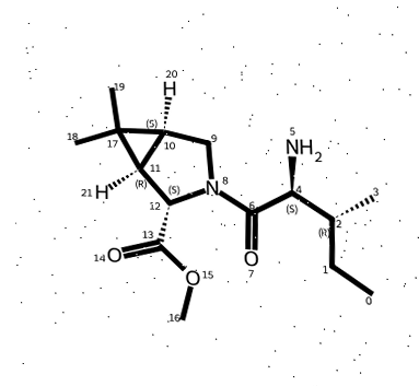 CC[C@@H](C)[C@H](N)C(=O)N1C[C@H]2[C@@H]([C@H]1C(=O)OC)C2(C)C